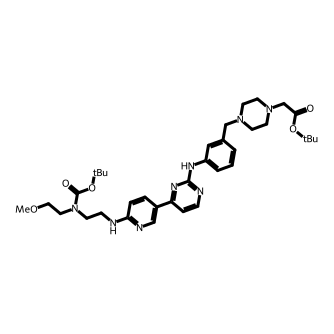 COCCN(CCNc1ccc(-c2ccnc(Nc3cccc(CN4CCN(CC(=O)OC(C)(C)C)CC4)c3)n2)cn1)C(=O)OC(C)(C)C